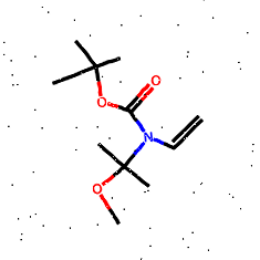 C=CN(C(=O)OC(C)(C)C)C(C)(C)OC